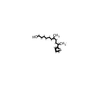 [CH2]C(CCC(C)CCCCCCO)c1cccs1